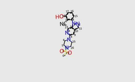 CS(=O)(=O)N1CCN(c2cc3cnn(-c4cccc(O)c4C#N)c3cn2)CC1